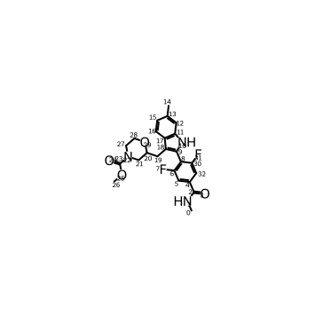 CNC(=O)c1cc(F)c(-c2[nH]c3cc(C)ccc3c2CC2CN(C(=O)OC)CCO2)c(F)c1